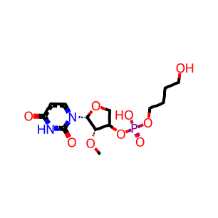 CO[C@H]1C(OP(=O)(O)OCCCCO)CO[C@H]1n1ccc(=O)[nH]c1=O